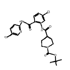 CC(C)(C)OC(=O)N1CCC(C(=O)Nc2cc(Cl)ccc2C(=O)Nc2ccc(Cl)cn2)CC1